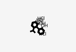 CC(C)c1cccc(O)c1-c1ccccc1O.Cl.Cl.Cl.Cl